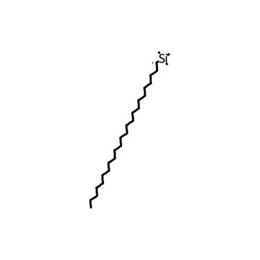 CCCCCCCCCCCCCCCCCCCCCCC[CH][Si](C)(C)C